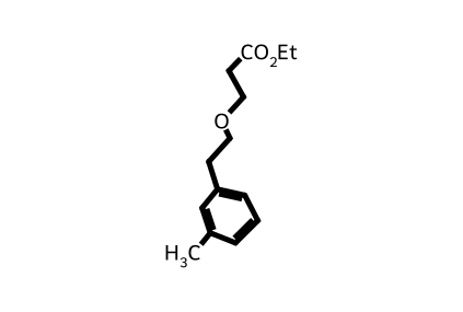 CCOC(=O)CCOCCc1cccc(C)c1